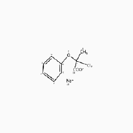 CC(Cl)(Oc1ccccc1)C(=O)[O-].[Na+]